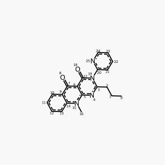 CCCc1nc2c(c(=O)c3ccccc3n2C)c(=O)n1-c1ccccn1